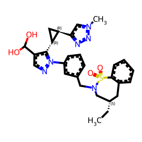 CC[C@H]1Cc2ccccc2S(=O)(=O)N(Cc2cccc(-n3ncc(C(O)O)c3[C@@H]3C[C@H]3c3cn(C)nn3)c2)C1